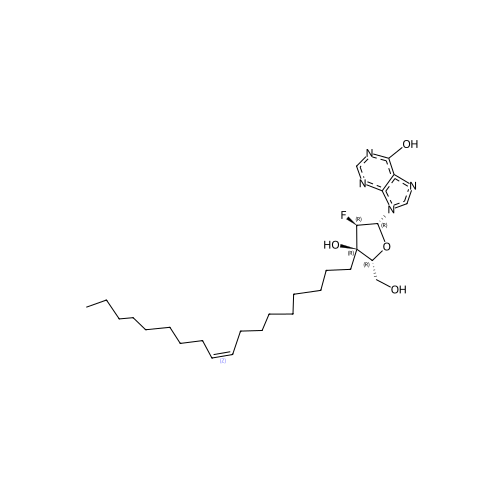 CCCCCCCC/C=C\CCCCCCCC[C@@]1(O)[C@@H](CO)O[C@@H](n2cnc3c(O)ncnc32)[C@@H]1F